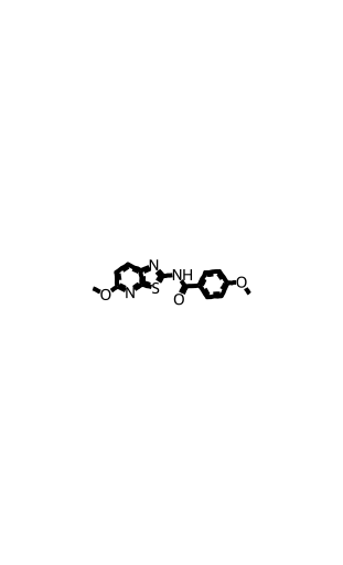 COc1ccc(C(=O)Nc2nc3ccc(OC)nc3s2)cc1